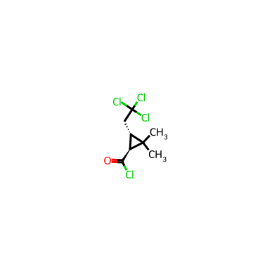 CC1(C)[C@@H](CC(Cl)(Cl)Cl)[C@@H]1C(=O)Cl